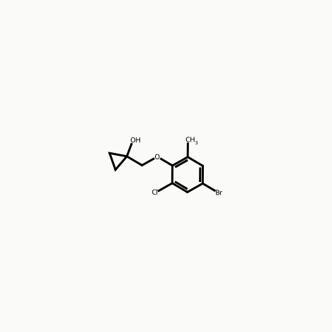 Cc1cc(Br)cc(Cl)c1OCC1(O)CC1